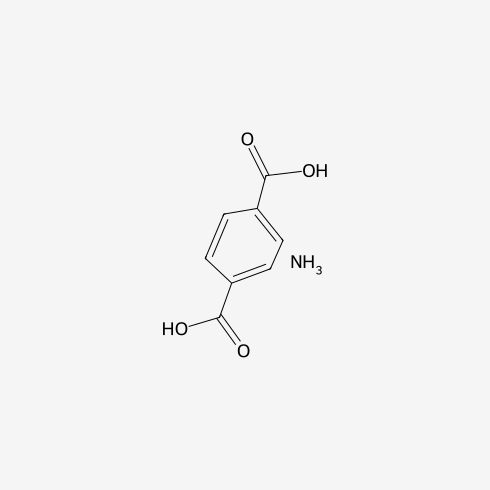 N.O=C(O)c1ccc(C(=O)O)cc1